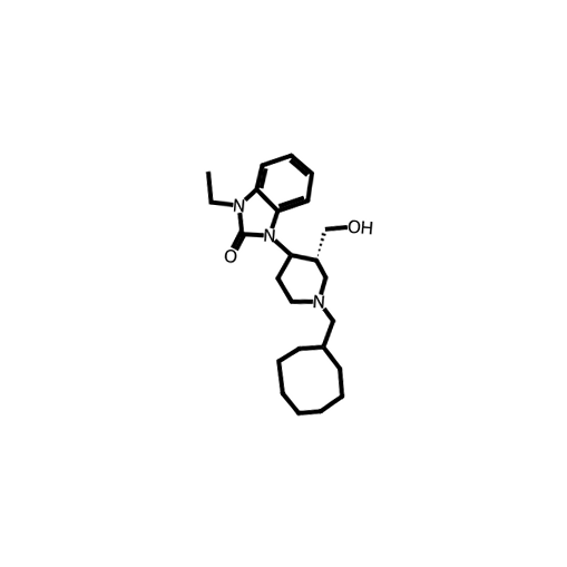 CCn1c(=O)n(C2CCN(CC3CCCCCCC3)C[C@H]2CO)c2ccccc21